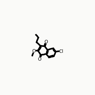 CCCC1=C(OC)C(=O)c2ccc(Cl)cc2C1=O